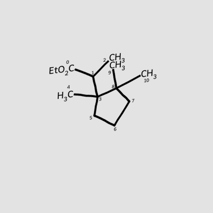 CCOC(=O)C(C)C1(C)CCCC1(C)C